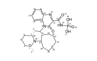 C[C@@H]1CCC[C@H](CCn2c(=O)c(C(=O)NP(=O)(O)O)nc3ccccc32)N1C1CCCCCCC1